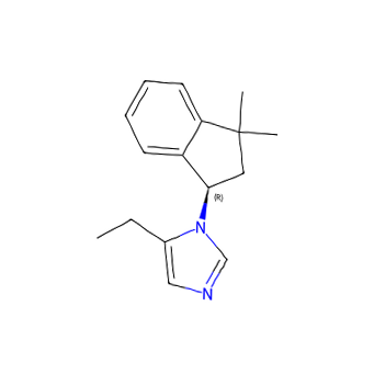 CCc1cncn1[C@@H]1CC(C)(C)c2ccccc21